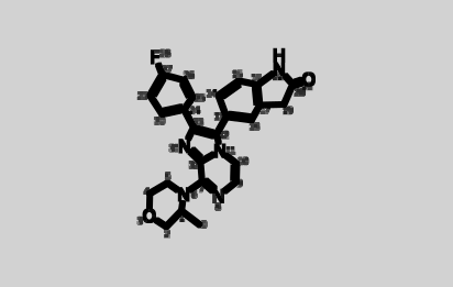 CC1COCCN1c1nccn2c(-c3ccc4c(c3)CC(=O)N4)c(-c3ccc(F)cc3)nc12